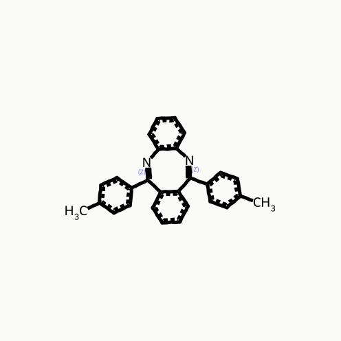 Cc1ccc(/C2=N/c3ccccc3/N=C(/c3ccc(C)cc3)c3ccccc32)cc1